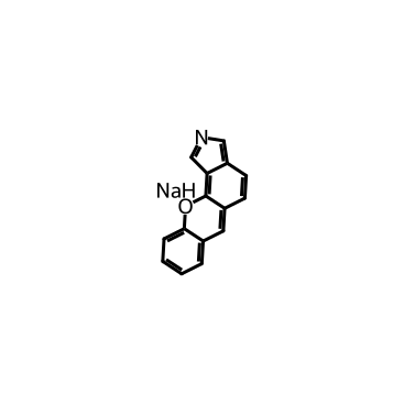 [NaH].c1ccc2oc3c(ccc4cncc43)cc2c1